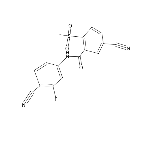 CS(=O)(=O)c1ccc(C#N)cc1C(=O)Nc1ccc(C#N)c(F)c1